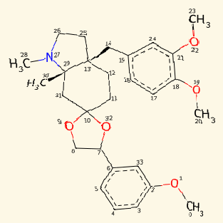 COc1cccc(C2COC3(CC[C@@]4(Cc5ccc(OC)c(OC)c5)CCN(C)[C@@]4(C)C3)O2)c1